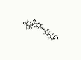 O=C1CCC(N2Cc3cc(C#CC4CCN(C5CCNCC5)CC4)ccc3C2=O)C(=O)N1